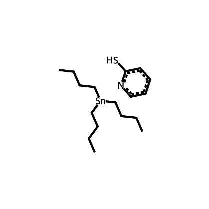 CCC[CH2][Sn]([CH2]CCC)[CH2]CCC.Sc1ccccn1